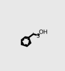 OS[CH]c1ccccc1